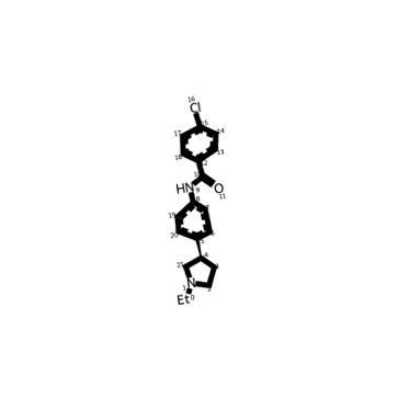 CCN1CC[C@H](c2ccc(NC(=O)c3ccc(Cl)cc3)cc2)C1